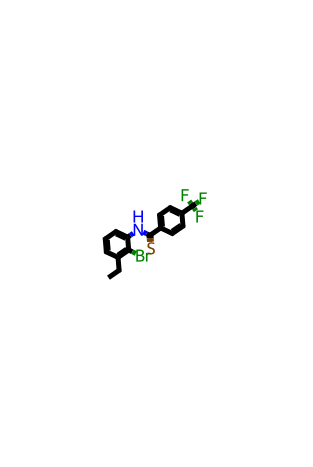 CCc1cccc(NC(=S)c2ccc(C(F)(F)F)cc2)c1Br